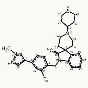 Cn1cc(-c2ccc(CN3C(=O)C4(CCN(C5CCSCC5)CC4)c4ccccc43)c(F)c2)cn1